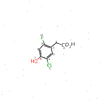 O=C(O)Cc1cc(Cl)c(O)cc1F